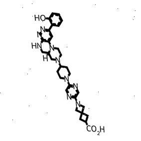 O=C(O)C1CC2(C1)CN(c1cnc(N3CCC(N4CCN5c6cc(-c7ccccc7O)nnc6NC[C@H]5C4)CC3)cn1)C2